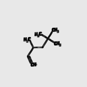 [CH]=CC(C)CC(C)(C)C